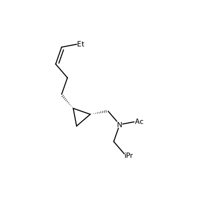 CC/C=C\CC[C@H]1C[C@H]1CN(CC(C)C)C(C)=O